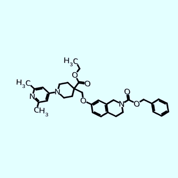 CCOC(=O)C1(COc2ccc3c(c2)CN(C(=O)OCc2ccccc2)CC3)CCN(c2cc(C)nc(C)c2)CC1